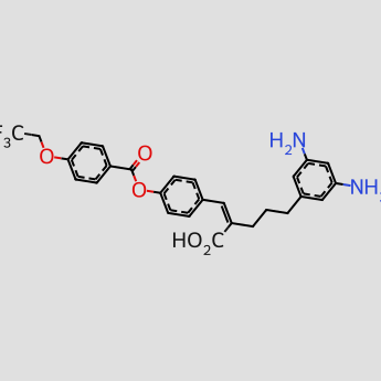 Nc1cc(N)cc(CCCC(=Cc2ccc(OC(=O)c3ccc(OCC(F)(F)F)cc3)cc2)C(=O)O)c1